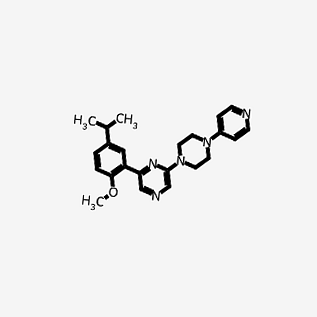 COc1ccc(C(C)C)cc1-c1cncc(N2CCN(c3ccncc3)CC2)n1